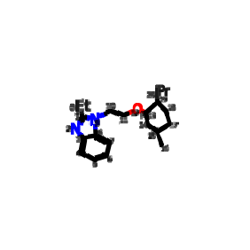 CCc1nc2ccccc2n1CCO[C@@H]1C[C@H](C)CCC1C(C)C